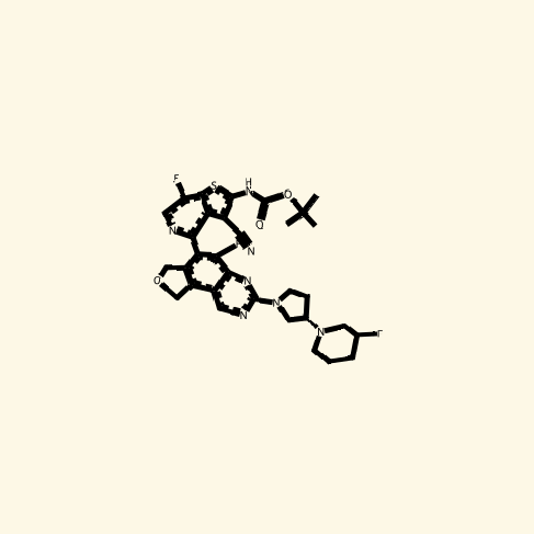 CC(C)(C)OC(=O)Nc1sc2c(F)cnc(-c3c4c(c5cnc(N6CC[C@@H](N7CCCC(F)C7)C6)nc5c3F)COC4)c2c1C#N